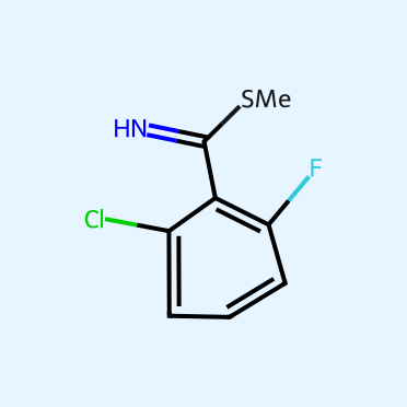 CSC(=N)c1c(F)cccc1Cl